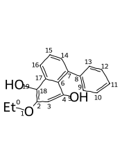 CCOc1cc(O)c2c(-c3ccccc3)cccc2c1O